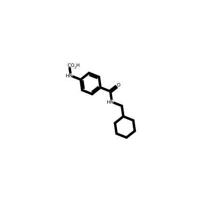 O=C(O)Nc1ccc(C(=O)NCC2CCCCC2)cc1